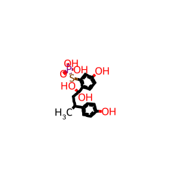 CC(CC(O)(O)c1ccc(O)cc1SP(=O)(O)O)c1ccc(O)cc1